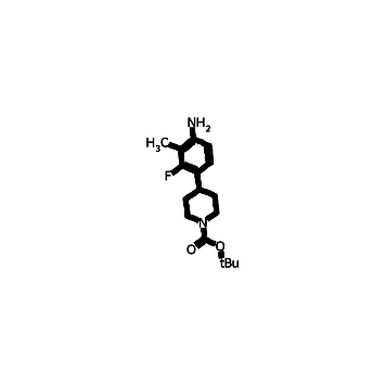 Cc1c(N)ccc(C2CCN(C(=O)OC(C)(C)C)CC2)c1F